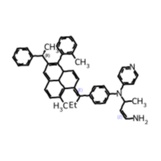 CC/C(=C1/C=CC2C(c3ccccc3C)=C([C@H](C)c3ccccc3)C=C3C=CC(C)=C1C32)c1ccc(N(c2ccncc2)C(C)/C=C\N)cc1